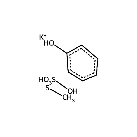 C[S-].O=S(=O)(O)O.Oc1ccccc1.[K+]